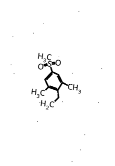 [CH2]Cc1c(C)cc(S(C)(=O)=O)cc1C